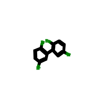 Brc1ccc(Br)c(-c2cc(Br)ccc2Br)c1